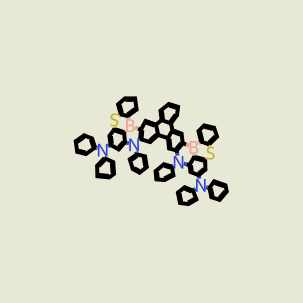 c1ccc(N(c2ccccc2)c2cc3c4c(c2)N(c2ccccc2)c2cc5c(cc2B4c2ccccc2S3)c2ccccc2c2cc3c(cc25)N(c2ccccc2)c2cc(N(c4ccccc4)c4ccccc4)cc4c2B3c2ccccc2S4)cc1